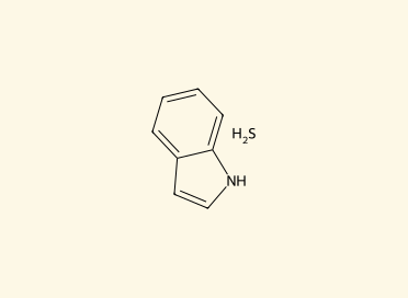 S.c1ccc2[nH]ccc2c1